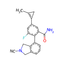 CC1=C(c2cc(F)c(-c3cccc4c3CN(C#N)C4)c(C(N)=O)c2)C1